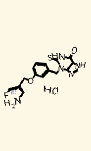 Cl.NC/C(=C\F)COc1cccc(Cn2c(=S)[nH]c(=O)c3[nH]cnc32)c1